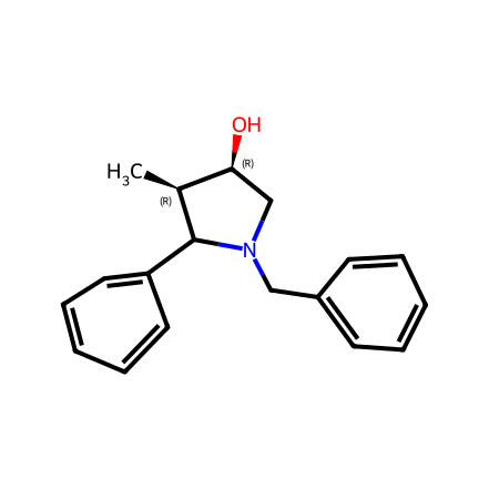 C[C@@H]1C(c2ccccc2)N(Cc2ccccc2)C[C@@H]1O